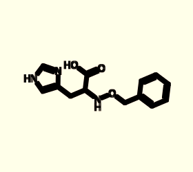 O=C(O)C(Cc1c[nH]cn1)NOCc1ccccc1